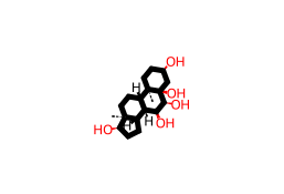 C[C@]12CC[C@H]3[C@@H]([C@H](O)[C@@H](O)[C@@]4(O)C[C@@H](O)CC[C@]34C)[C@@H]1CC[C@@H]2O